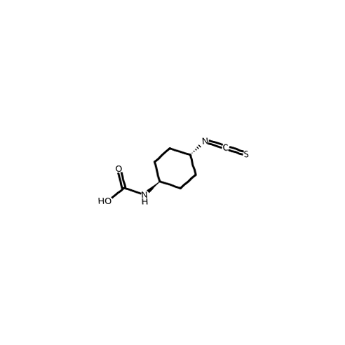 O=C(O)N[C@H]1CC[C@H](N=C=S)CC1